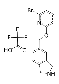 Brc1cccc(OCc2ccc3c(c2)CNC3)n1.O=C(O)C(F)(F)F